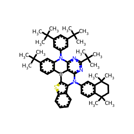 CC(C)(C)c1cc(N2c3cc(C(C)(C)C)ccc3B3c4sc5ccccc5c4N(c4ccc5c(c4)C(C)(C)CCC5(C)C)c4nc(C(C)(C)C)nc2c43)cc(C(C)(C)C)c1